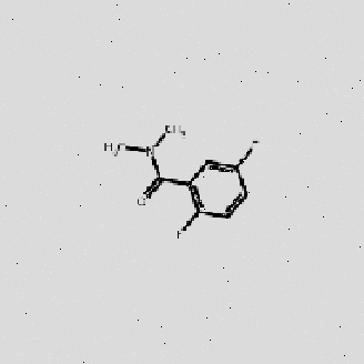 CN(C)C(=O)c1cc(F)ccc1F